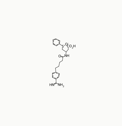 N=C(N)c1ccc(CCCCC(=O)NC(CC(=O)O)C[S+]([O-])c2ccccc2)cc1